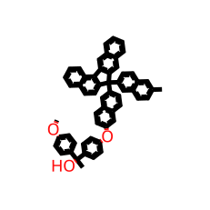 COc1ccc(C(C)(O)c2ccc(Oc3ccc4cc(C5(c6ccc7cc(C)ccc7c6)c6cc7ccccc7cc6-c6c5ccc5ccccc65)ccc4c3)cc2)cc1